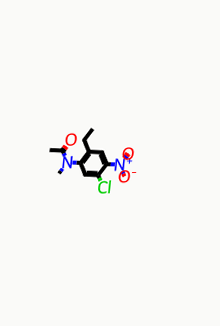 CCc1cc([N+](=O)[O-])c(Cl)cc1N(C)C(C)=O